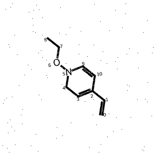 C=CC1=CCN(OCC)C=C1